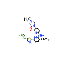 COc1ccc(-c2ncc(Cl)s2)nc1Nc1ccc(N2CCN(C)CC2=O)cn1.Cl